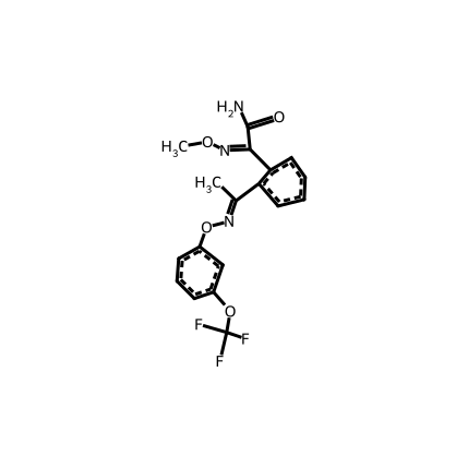 CON=C(C(N)=O)c1ccccc1C(C)=NOc1cccc(OC(F)(F)F)c1